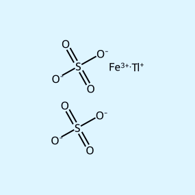 O=S(=O)([O-])[O-].O=S(=O)([O-])[O-].[Fe+3].[Tl+]